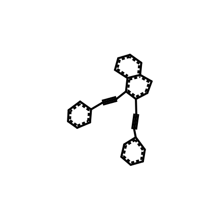 C(#Cc1ccc2ccccc2c1C#Cc1ccccc1)c1ccccc1